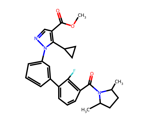 COC(=O)c1cnn(-c2cccc(-c3cccc(C(=O)N4C(C)CCC4C)c3F)c2)c1C1CC1